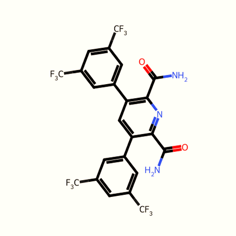 NC(=O)c1nc(C(N)=O)c(-c2cc(C(F)(F)F)cc(C(F)(F)F)c2)cc1-c1cc(C(F)(F)F)cc(C(F)(F)F)c1